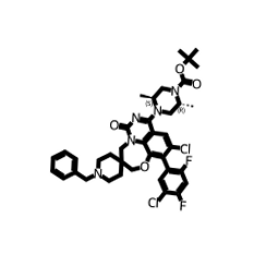 C[C@@H]1CN(c2nc(=O)n3c4c(c(-c5cc(Cl)c(F)cc5F)c(Cl)cc24)OCC2(CCN(Cc4ccccc4)CC2)C3)[C@@H](C)CN1C(=O)OC(C)(C)C